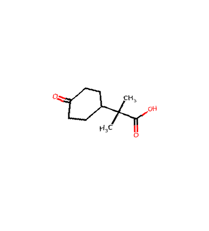 CC(C)(C(=O)O)C1CCC(=O)CC1